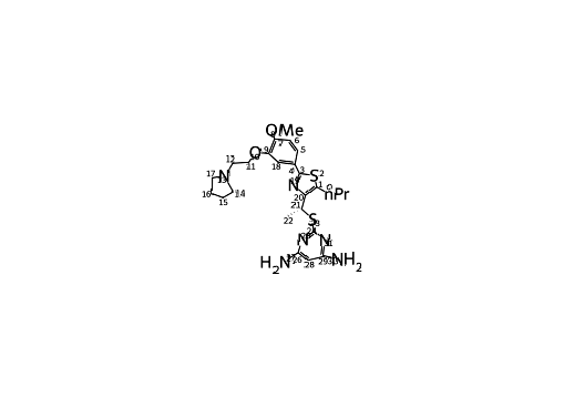 CCCc1sc(-c2ccc(OC)c(OCCN3CCCC3)c2)nc1[C@@H](C)Sc1nc(N)cc(N)n1